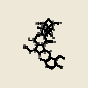 COc1c(Br)ccc(F)c1CN1O[C@@H](CO)[C@@H]([C@H](C)O)[C@H]1C(=O)N[C@H]1C[C@H]2C[C@@H]([C@@H]1C)C2(C)C